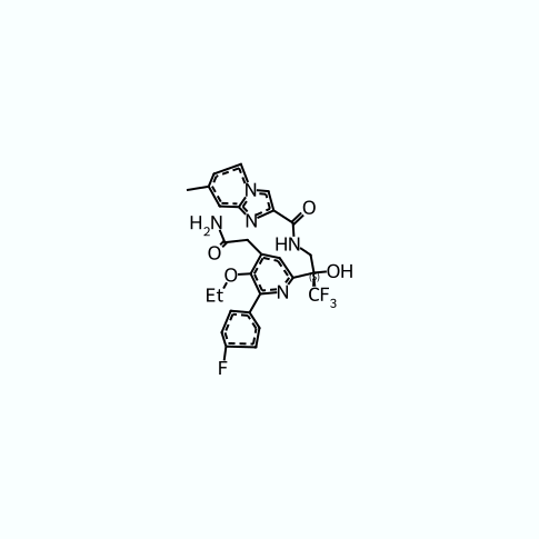 CCOc1c(CC(N)=O)cc([C@@](O)(CNC(=O)c2cn3ccc(C)cc3n2)C(F)(F)F)nc1-c1ccc(F)cc1